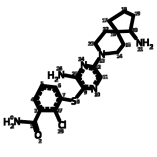 NC(=O)c1cccc(Sc2ncc(N3CCC4(CCCC4N)CC3)nc2N)c1Cl